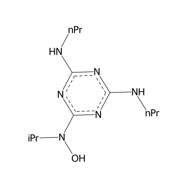 CCCNc1nc(NCCC)nc(N(O)C(C)C)n1